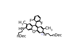 CCCCCCCCCCCC/N=c1/cc2oc3cc(NCCCCCCCCCCCC)c(C)cc3c(-c3c(F)cccc3F)c-2cc1C